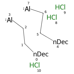 CCCCCCCCCCC[CH2][Al].CCCCCCCCCCC[CH2][Al].Cl.Cl.Cl